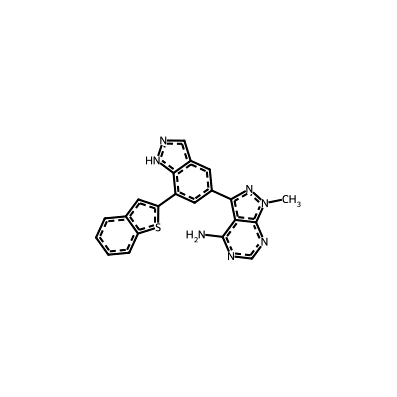 Cn1nc(-c2cc(-c3cc4ccccc4s3)c3[nH]ncc3c2)c2c(N)ncnc21